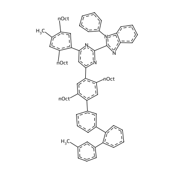 CCCCCCCCc1cc(-c2cc(-c3cc(CCCCCCCC)c(-c4cccc(-c5ccccc5-c5cccc(C)c5)c4)cc3CCCCCCCC)nc(-c3nc4ccccc4n3-c3ccccc3)n2)c(CCCCCCCC)cc1C